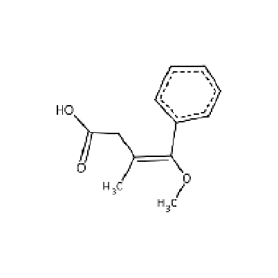 COC(=C(C)CC(=O)O)c1ccccc1